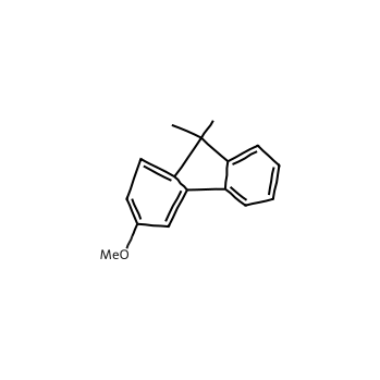 COc1ccc2c(c1)-c1ccccc1C2(C)C